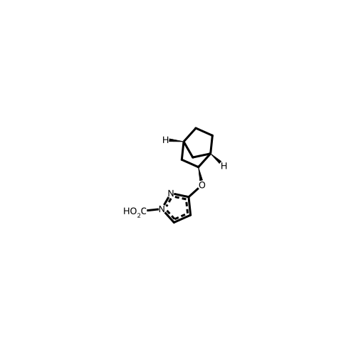 O=C(O)n1ccc(O[C@H]2C[C@@H]3CC[C@H]2C3)n1